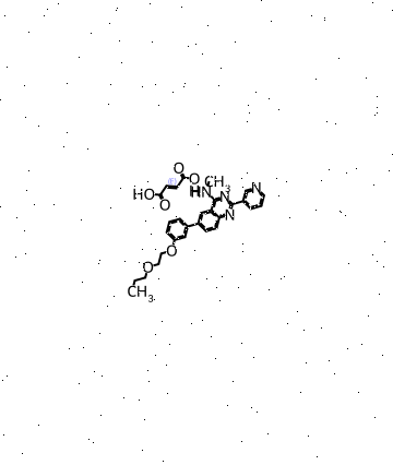 CCCOCCOc1cccc(-c2ccc3nc(-c4cccnc4)nc(NC)c3c2)c1.O=C(O)/C=C/C(=O)O